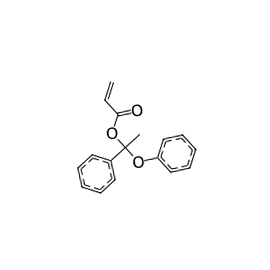 C=CC(=O)OC(C)(Oc1ccccc1)c1ccccc1